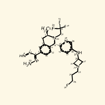 C[C@@H]1Cc2cc(/C(N=N)=N/N)ccc2[C@@H](c2ccc(NC3CN(CCCF)C3)cn2)N1CC(F)(F)F